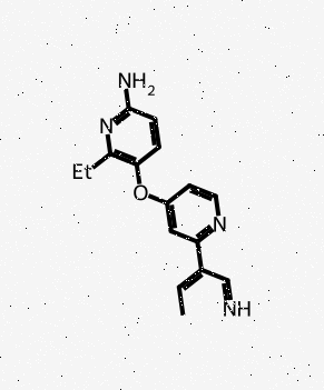 C/C=C(\C=N)c1cc(Oc2ccc(N)nc2CC)ccn1